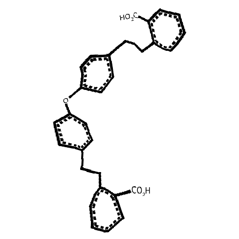 O=C(O)c1ccccc1CCc1ccc(Oc2ccc(CCc3ccccc3C(=O)O)cc2)cc1